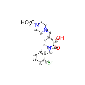 O=C(O)N1CCN(Cc2ccn(Cc3ccccc3Br)c(=O)c2O)CC1